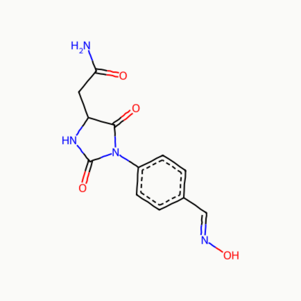 NC(=O)CC1NC(=O)N(c2ccc(C=NO)cc2)C1=O